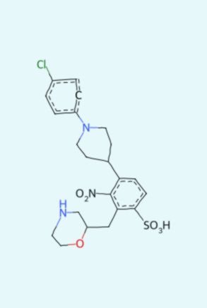 O=[N+]([O-])c1c(C2CCN(c3ccc(Cl)cc3)CC2)ccc(S(=O)(=O)O)c1CC1CNCCO1